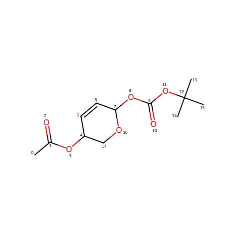 CC(=O)OC1C=CC(OC(=O)OC(C)(C)C)OC1